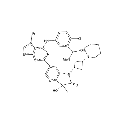 CNC(O)c1cc(Nc2nc(-c3cnc4c(c3)N([C@H]3C[C@@H](N5CCCCC5)C3)C(=O)C4(C)O)cc3ncn(C(C)C)c23)ccc1Cl